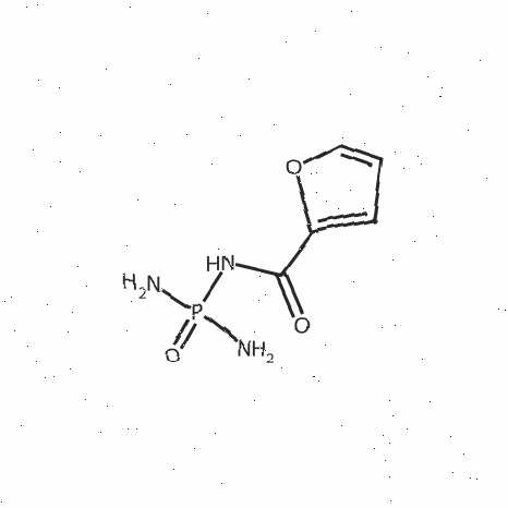 NP(N)(=O)NC(=O)c1ccco1